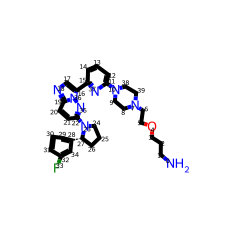 NCCCOCCN1CCN(c2cccc(-c3cnc4ccc(N5CCC[C@@H]5c5cccc(F)c5)nn34)n2)CC1